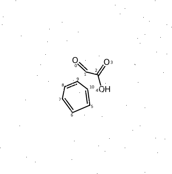 O=CC(=O)O.c1ccccc1